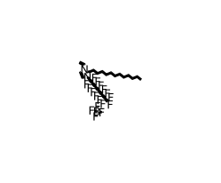 C=CN1C=CN(C(F)(F)C(F)(F)C(F)(F)C(F)(F)C(F)(F)C(F)(F)F)C1CCCCCCCCCCCC.F[B-](F)(F)F